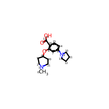 CN1CCC(Oc2cc(N3CCCC3)ccc2C(=O)O)CC1